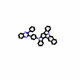 c1ccc(-c2nc3ccccc3nc2-c2ccc(-n3c4ccccc4c4c5c6cc7ccccc7cc6n6c7ccccc7c(cc43)c56)cc2)cc1